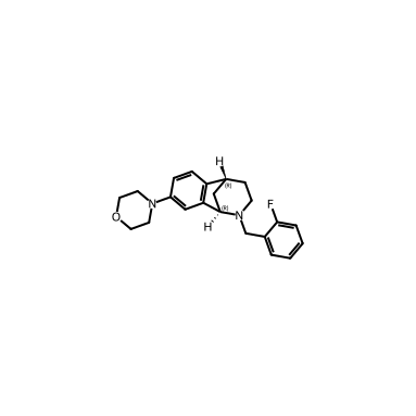 Fc1ccccc1CN1CC[C@@H]2C[C@@H]1c1cc(N3CCOCC3)ccc12